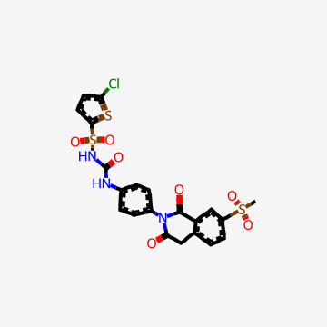 CS(=O)(=O)c1ccc2c(c1)C(=O)N(c1ccc(NC(=O)NS(=O)(=O)c3ccc(Cl)s3)cc1)C(=O)C2